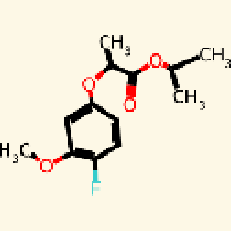 COc1cc(OC(C)C(=O)OC(C)C)ccc1F